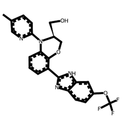 Cc1ccc(N2c3cccc(-c4nc5ccc(OC(F)(F)F)cc5[nH]4)c3OC[C@@H]2CO)nc1